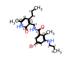 CCCNc1cc(Br)cc(C(=O)NCc2c(CCC)cc(C)[nH]c2=O)c1C